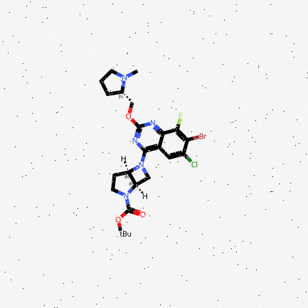 CN1CCC[C@H]1COc1nc(N2C[C@@H]3[C@H]2CCN3C(=O)OC(C)(C)C)c2cc(Cl)c(Br)c(F)c2n1